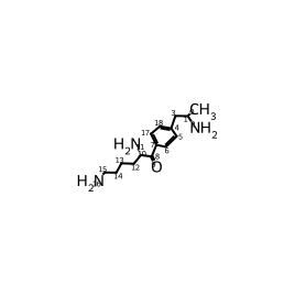 CC(N)Cc1ccc(C(=O)[C@@H](N)CCCCN)cc1